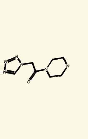 O=C(Cn1cnnn1)N1CC[N]CC1